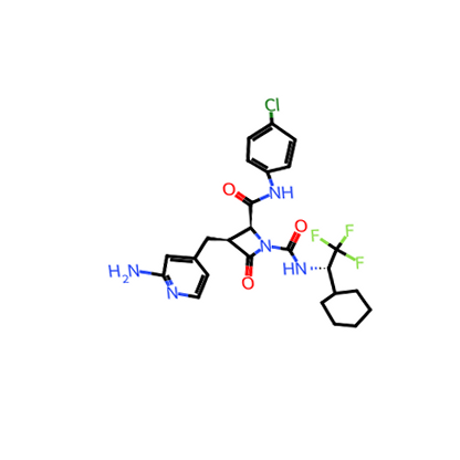 Nc1cc(C[C@@H]2C(=O)N(C(=O)N[C@@H](C3CCCCC3)C(F)(F)F)[C@@H]2C(=O)Nc2ccc(Cl)cc2)ccn1